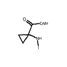 COC(=O)C1(NI)CC1